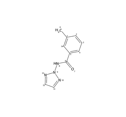 [CH2]c1cccc(C(=O)Nn2nccn2)c1